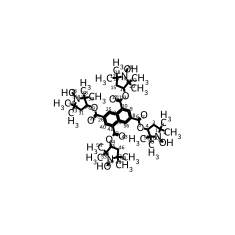 CC1(C)CC(OC(=O)c2cc(C(=O)OC3CC(C)(C)N(O)C3(C)C)c3cc(C(=O)OC4CC(C)(C)N(O)C4(C)C)cc(C(=O)OC4CC(C)(C)N(O)C4(C)C)c3c2)C(C)(C)N1O